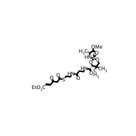 CCOC(=O)/C=C/C(=O)CC(=O)SCCNC(=O)CCNC(=O)[C@@H]1OP(=O)(N[C@@H](C)C(=O)OC)OCC1(C)C